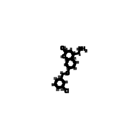 NCc1cc(=O)oc2cc(OCc3cccc(Cl)c3)ccc12